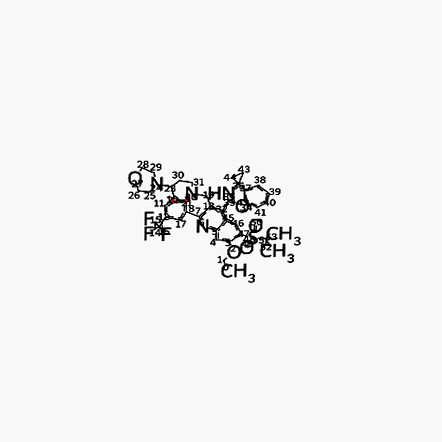 CCOc1cc2nc(-c3cccc(C(F)(F)F)c3)c(CN3CCC(N4CCOCC4)CC3)c(C(=O)NC3(c4ccccc4)CC3)c2cc1S(=O)(=O)C(C)C